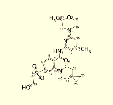 Cc1cc(NC(=O)c2ccc(S(=O)(=O)CCO)cc2N2CCC3(CC2)CC3)nc(N2CCO[C@H](C)C2)c1